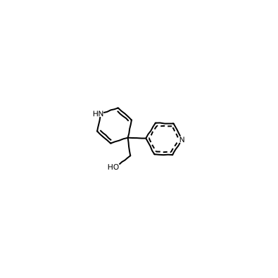 OCC1(c2ccncc2)C=CNC=C1